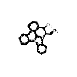 C=CC1C(C)c2cccc3c4ccccc4n4c5ccccc5[n+]1c4c23